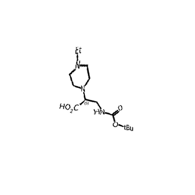 CCN1CCN([C@@H](CNC(=O)OC(C)(C)C)C(=O)O)CC1